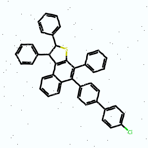 Clc1ccc(-c2ccc(-c3c(-c4ccccc4)c4c(c5ccccc35)C(c3ccccc3)C(c3ccccc3)S4)cc2)cc1